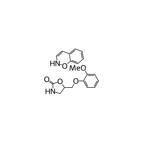 C1=Cc2ccccc2ON1.COc1ccccc1OCC1CNC(=O)O1